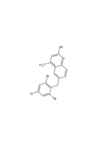 CCCc1cc(C)c2cc(Cc3c(Br)cc([O])cc3Br)ccc2n1